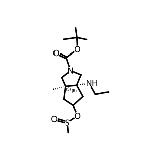 CCN[C@]12CC(OS(C)=O)C[C@@]1(C)CN(C(=O)OC(C)(C)C)C2